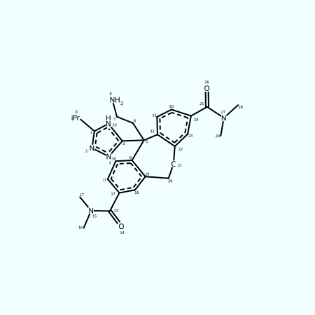 CC(C)c1nnc(C2(CCN)c3ccc(C(=O)N(C)C)cc3CCc3cc(C(=O)N(C)C)ccc32)[nH]1